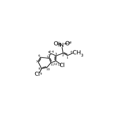 CC=C(c1sc2ccc(Cl)cc2c1Cl)[N+](=O)[O-]